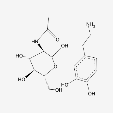 CC(=O)N[C@H]1C(O)O[C@H](CO)[C@@H](O)[C@@H]1O.NCCc1ccc(O)c(O)c1